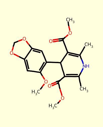 COC(=O)C1=C(C)NC(C)=C(C(=O)OC)C1c1cc2c(cc1OC)OCO2